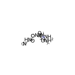 CCN1C(=O)[C@@H](CNc2cccc(C(=O)NCCCN3CCCC3)c2)S/C1=C(/N)C(=O)NCC(C)(C)C